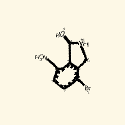 Nc1ccc(Br)c2c1C(O)NC2